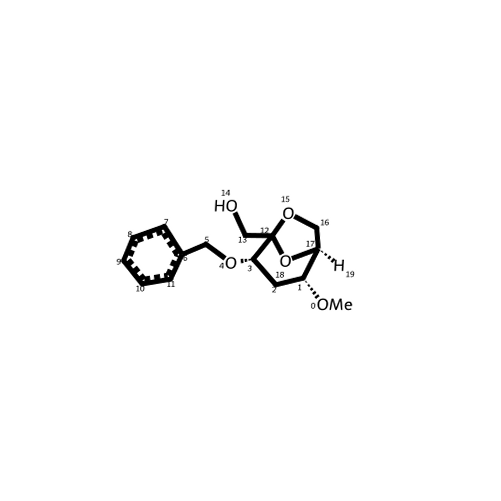 CO[C@@H]1C[C@H](OCc2ccccc2)C2(CO)OC[C@@H]1O2